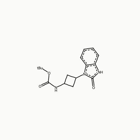 CC(C)(C)OC(=O)NC1CC(n2c(=O)[nH]c3ccccc32)C1